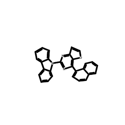 c1ccc2c(-c3nc(-n4c5ccccc5c5ccccc54)nc4ccoc34)cccc2c1